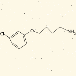 NCCCCOc1cccc(Cl)c1